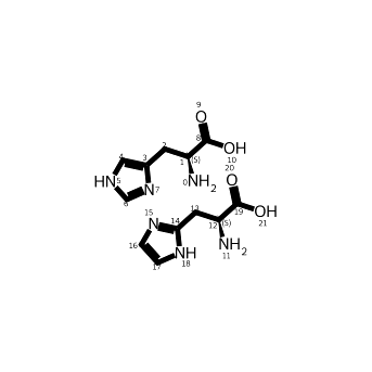 N[C@@H](Cc1c[nH]cn1)C(=O)O.N[C@@H](Cc1ncc[nH]1)C(=O)O